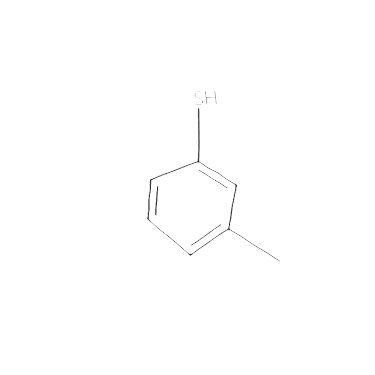 Cc1cc[c]c(S)c1